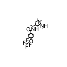 CNC1=CC(C(C)NC(=O)c2ccc(OC(F)(F)C(F)F)cc2)=CC(C)N1C